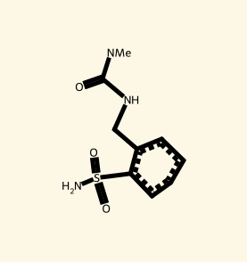 CNC(=O)NCc1ccccc1S(N)(=O)=O